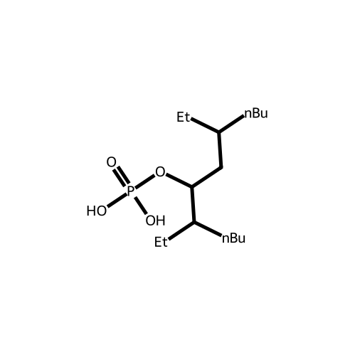 CCCCC(CC)CC(OP(=O)(O)O)C(CC)CCCC